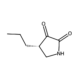 CCC[C@H]1CNC(=O)C1=O